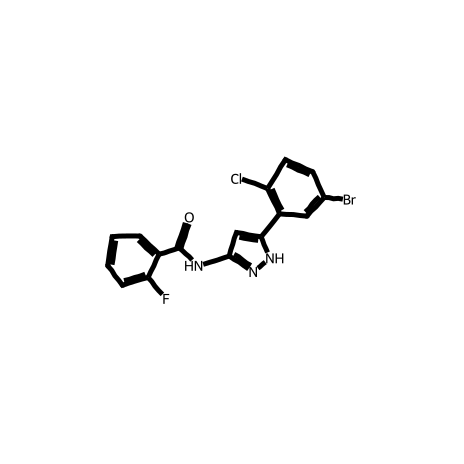 O=C(Nc1cc(-c2cc(Br)ccc2Cl)[nH]n1)c1ccccc1F